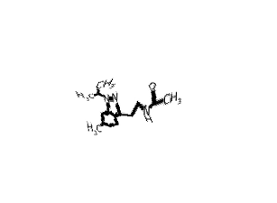 CC(=O)NCCc1nn(C(C)C)c2cc(C)ccc12